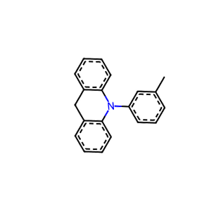 Cc1cccc(N2c3ccccc3Cc3ccccc32)c1